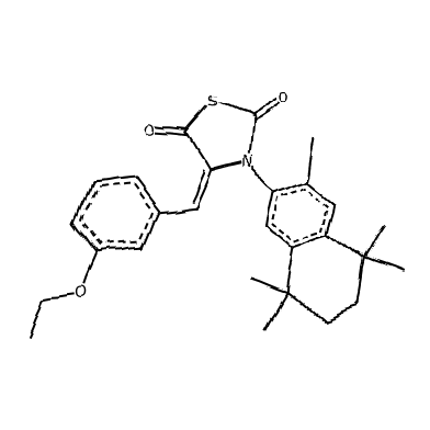 CCOc1cccc(C=C2C(=O)SC(=O)N2c2cc3c(cc2C)C(C)(C)CCC3(C)C)c1